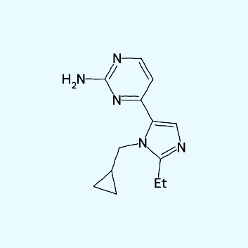 CCc1ncc(-c2ccnc(N)n2)n1CC1CC1